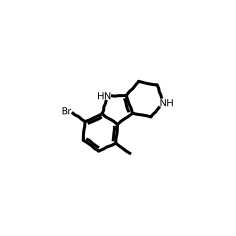 Cc1ccc(Br)c2[nH]c3c(c12)CNCC3